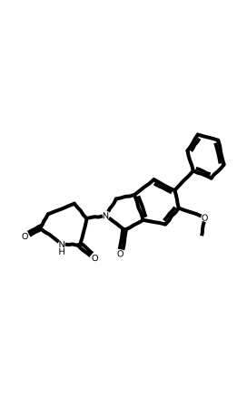 COc1cc2c(cc1-c1ccccc1)CN(C1CCC(=O)NC1=O)C2=O